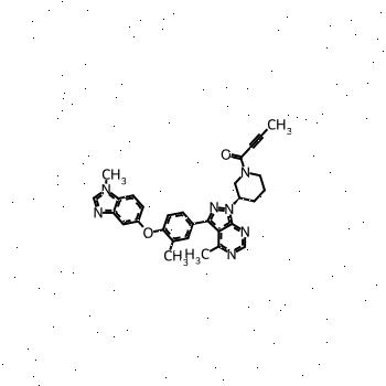 CC#CC(=O)N1CCC[C@@H](n2nc(-c3ccc(Oc4ccc5c(c4)ncn5C)c(C)c3)c3c(C)ncnc32)C1